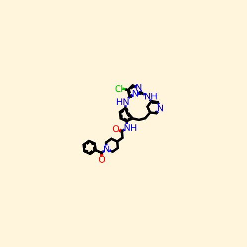 O=C(CC1CCN(C(=O)c2ccccc2)CC1)Nc1ccc2cc1CCC1C=NC=C(C1)Nc1ncc(Cl)c(n1)N2